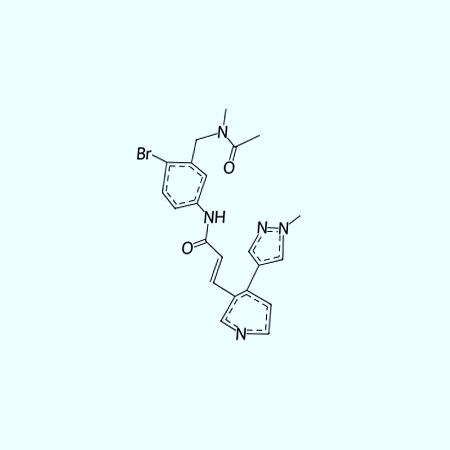 CC(=O)N(C)Cc1cc(NC(=O)/C=C/c2cnccc2-c2cnn(C)c2)ccc1Br